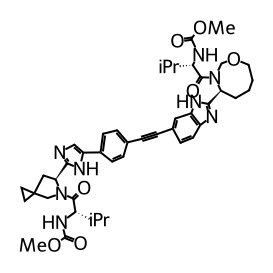 COC(=O)N[C@H](C(=O)N1CC2(CC2)C[C@H]1c1ncc(-c2ccc(C#Cc3ccc4nc([C@@H]5CCCCOCN5C(=O)[C@@H](NC(=O)OC)C(C)C)[nH]c4c3)cc2)[nH]1)C(C)C